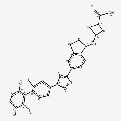 Cc1cc(-c2nc(-c3ccc4c(c3)CCC4NC3CC(C(=O)O)C3)no2)ccc1-c1c(Cl)ccc(C)c1F